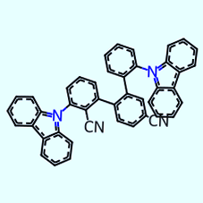 N#Cc1ccc(-c2cccc(-n3c4ccccc4c4ccccc43)c2C#N)c(-c2ccccc2-n2c3ccccc3c3ccccc32)c1